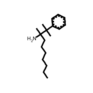 CCCCCCCC(C)(N)C(C)(C)c1ccccc1